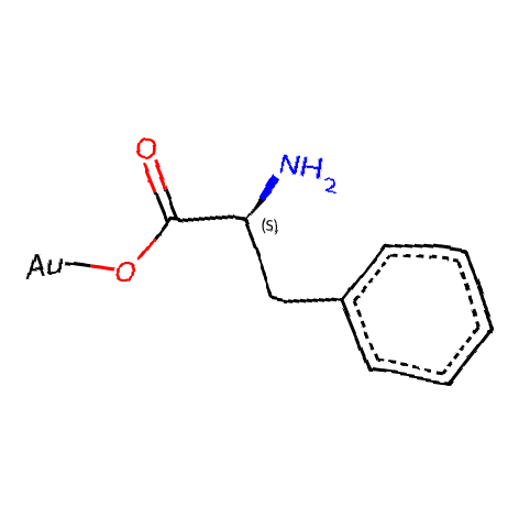 N[C@@H](Cc1ccccc1)C(=O)[O][Au]